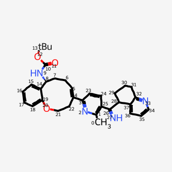 Cc1nc(/C2=C/CC[C@H](NC(=O)OC(C)(C)C)c3ccccc3OCC2)ccc1C(=N)C1CCCc2ncccc21